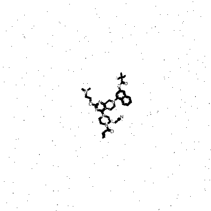 C=CC(=O)N1CCN(c2nc(OCCN(C)C)nc3c2CCN(c2cc(OC(=O)C(C)(C)C)cc4ccccc24)C3)C[C@@H]1CC#N